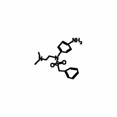 CN(C)CCN(c1ccc(N)cc1)S(=O)(=O)Cc1ccccc1